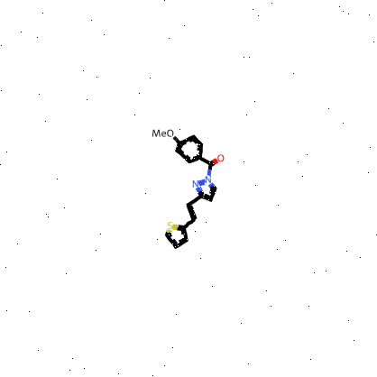 COc1ccc(C(=O)n2ccc(/C=C/c3cccs3)n2)cc1